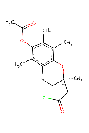 CC(=O)Oc1c(C)c(C)c2c(c1C)CC[C@](C)(CC(=O)Cl)O2